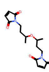 CC(CCN1C(=O)C=CC1=O)OC(C)CCN1C(=O)C=CC1=O